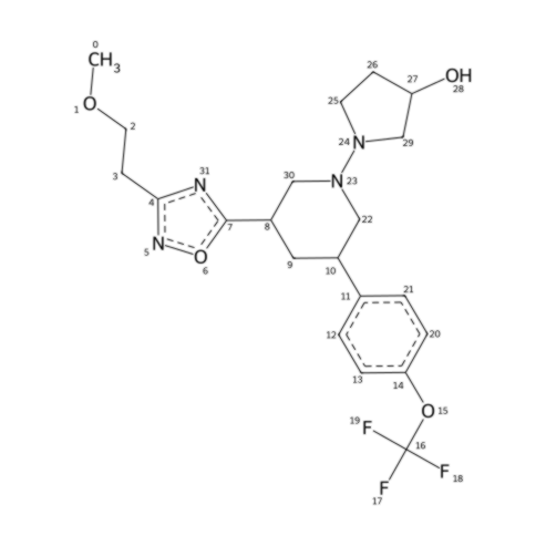 COCCc1noc(C2CC(c3ccc(OC(F)(F)F)cc3)CN(N3CCC(O)C3)C2)n1